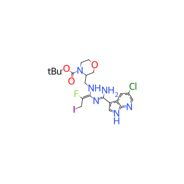 CC(C)(C)OC(=O)N1CCOCC1CNC(/N=C(\N)c1c[nH]c2ncc(Cl)cc12)=C(\F)CI